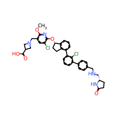 COc1nc(O[C@H]2CCc3c(-c4cccc(-c5ccc(CNC[C@@H]6CCC(=O)N6)cc5)c4Cl)cccc32)c(Cl)cc1CN1CC(C(=O)O)C1